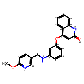 COc1ccc(CNc2cccc(Oc3cc(=O)[nH]c4ccccc34)c2)cn1